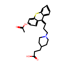 CC(=O)O.O=C(O)CCC1CCN(CCC=C2c3ccccc3Sc3ccccc32)CC1